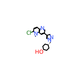 CN1c2cc(-c3cnn(C[C@H]4CC[C@H](O)CC4)c3)cnc2C=CC1Cl